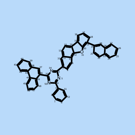 c1ccc(-c2nc(-c3ccc4c(ccc5c6cccc(-c7ccc8ccccc8c7)c6oc45)c3)nc(-c3cc4ccccc4c4ccccc34)n2)cc1